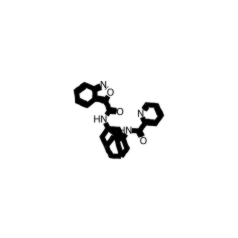 O=C(NC12CC3CC(C1)CC(NC(=O)c1onc4ccccc14)(C3)C2)c1ccccn1